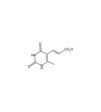 Cc1[nH]c(=O)[nH]c(=O)c1/C=C/C(=O)O